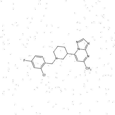 Cc1cc(C2CCCN(Cc3ccc(F)cc3Cl)C2)n2ncnc2n1